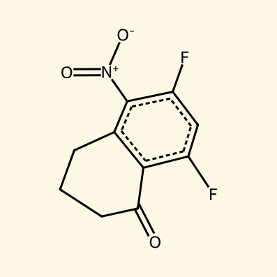 O=C1CCCc2c1c(F)cc(F)c2[N+](=O)[O-]